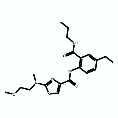 CCCNC(=O)c1cc(CC)ccc1NC(=O)c1csc(N(C)CCOC)n1